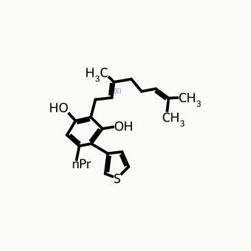 CCCc1cc(O)c(C/C=C(\C)CCC=C(C)C)c(O)c1-c1ccsc1